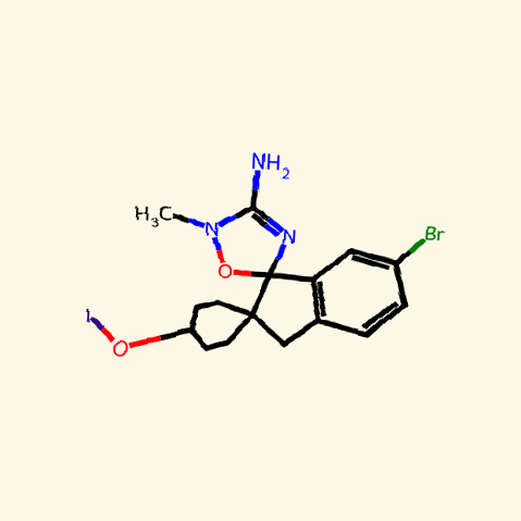 CN1OC2(N=C1N)c1cc(Br)ccc1CC21CCC(OI)CC1